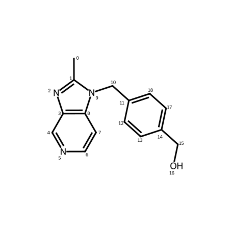 Cc1nc2cnccc2n1Cc1ccc(CO)cc1